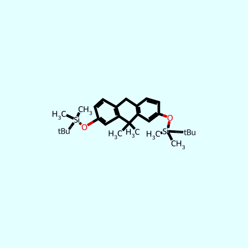 CC1(C)c2cc(O[Si](C)(C)C(C)(C)C)ccc2Cc2ccc(O[Si](C)(C)C(C)(C)C)cc21